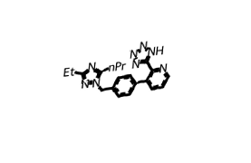 CCCc1nc(CC)nn1Cc1ccc(-c2cccnc2-c2nnn[nH]2)cc1